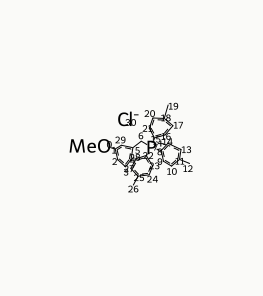 COc1cccc(C[P+](c2ccc(C)cc2)(c2ccc(C)cc2)c2ccc(C)cc2)c1.[Cl-]